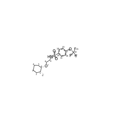 C[C@@H]1CCCC[C@@H]1OCCNS(=O)(=O)c1ccc(OC(F)(F)F)cc1